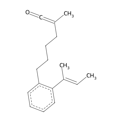 C/C=C(\C)c1ccccc1CCCCC(C)=C=O